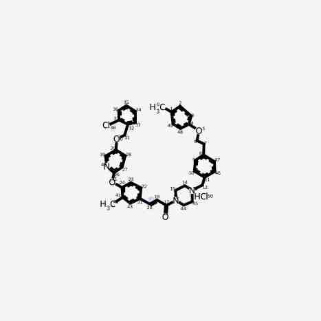 Cc1ccc(OCCc2ccc(CN3CCN(C(=O)/C=C/c4ccc(Oc5ccc(OCc6ccccc6Cl)cn5)c(C)c4)CC3)cc2)cc1.Cl